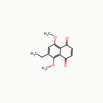 [CH2]Cc1cc(OC)c2c(c1OC)C(=O)C=CC2=O